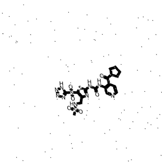 CS(=O)(=O)NCc1nc(NC(=O)Nc2cnccc2C(=O)C2CCCC2)sc1S(=O)(=O)c1nnn[nH]1